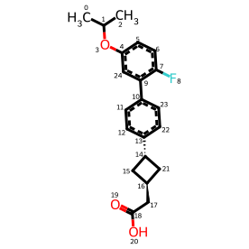 CC(C)Oc1ccc(F)c(-c2ccc([C@H]3C[C@H](CC(=O)O)C3)cc2)c1